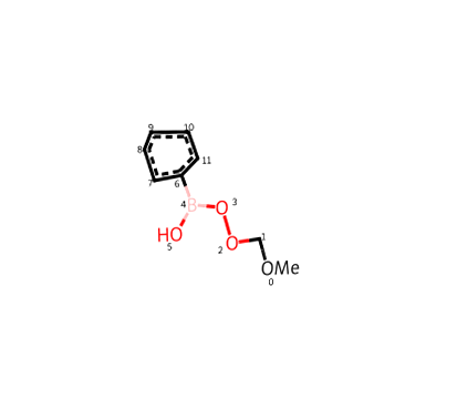 COCOOB(O)c1ccccc1